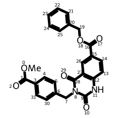 COC(=O)c1ccc(Cn2c(=O)[nH]c3ccc(C(=O)OCc4ccccc4)cc3c2=O)cc1